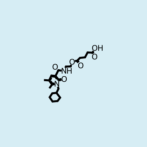 Cc1cc(C(=O)NCCOC(=O)CCCC(=O)O)c(=O)n(CC2CCCCC2)c1C